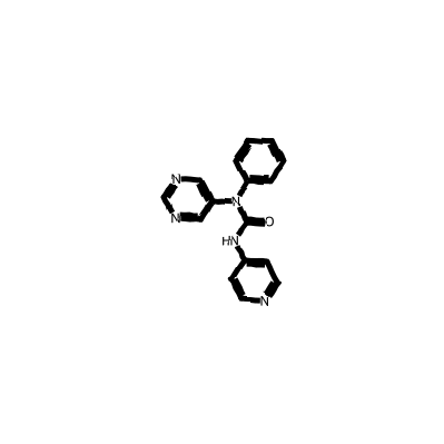 O=C(Nc1ccncc1)N(c1ccccc1)c1cncnc1